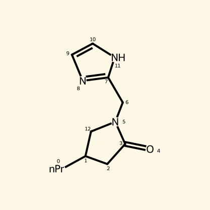 CCCC1CC(=O)N(Cc2ncc[nH]2)C1